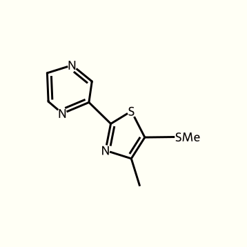 CSc1sc(-c2cnccn2)nc1C